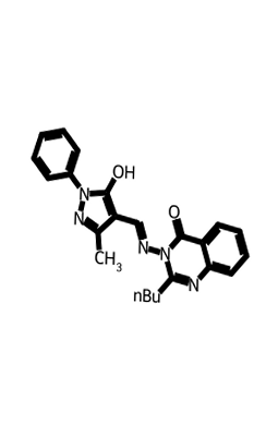 CCCCc1nc2ccccc2c(=O)n1N=Cc1c(C)nn(-c2ccccc2)c1O